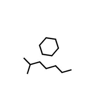 C1CCCCC1.CCCCCC(C)C